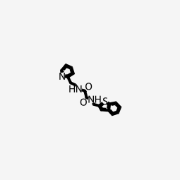 O=C(NCCc1ccccn1)C(=O)NCc1cc2ccccc2s1